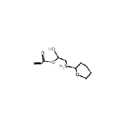 C=CC(=O)OC(O)C[SiH2]C1CCCCO1